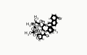 COc1ccc2c(Br)cccc2c1CN1C(=O)[C@@H](NC(=O)[C@H](C)N(C)C(=O)OC(C)(C)C)[C@H](C)N(C(=O)C2CCOCC2)c2ccccc21